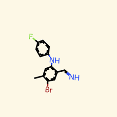 Cc1cc(Nc2ccc(F)cc2)c(C=N)cc1Br